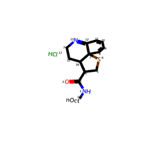 CCCCCCCCNC(=O)C1CSC23C=CC=CC2=NCCC13.Cl